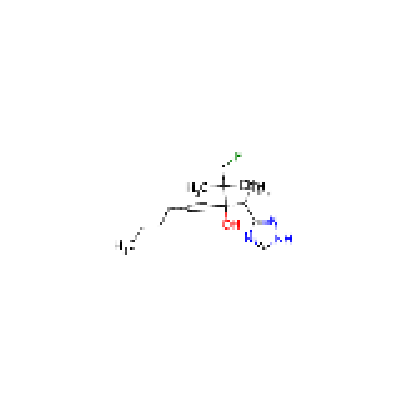 CCCCC#CC(O)(C(C)c1nc[nH]n1)C(C)(C)CF